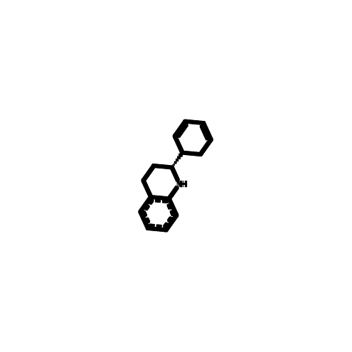 C1=CCC([C@H]2CCc3ccccc3N2)C=C1